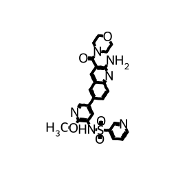 COc1ncc(-c2ccc3nc(N)c(C(=O)N4CCOCC4)cc3c2)cc1NS(=O)(=O)c1cccnc1